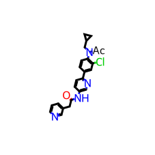 CC(=O)N(CC1CC1)c1ccc(-c2ccc(NC(=O)Cc3cccnc3)cn2)cc1Cl